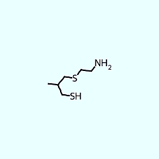 CC(CS)CSCCN